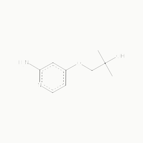 CC(C)(O)COc1ccnc(N)c1